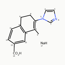 CC1=C(n2ccnc2)CCc2ccc(C(=O)O)cc21.[NaH]